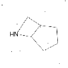 C1C[C]2CNC2C1